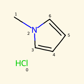 Cl.Cn1cccc1